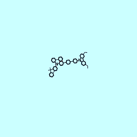 CCc1ccc2c(c1)c1cc(CC)ccc1n2-c1ccc(-c2ccc(-c3ccc(N(c4ccc5c(c4)C(C)(C)c4ccccc4-5)c4ccccc4-c4ccccc4)cc3)cc2)cc1